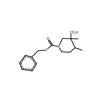 CC1CCN(C(=O)OCc2ccccc2)CC1(C)C(=O)O